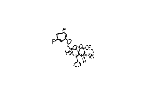 CC(C)[C@H](NC(=O)[C@@H](NC(=O)COc1cc(F)cc(F)c1)c1ccccc1)C(=O)C(F)(F)F